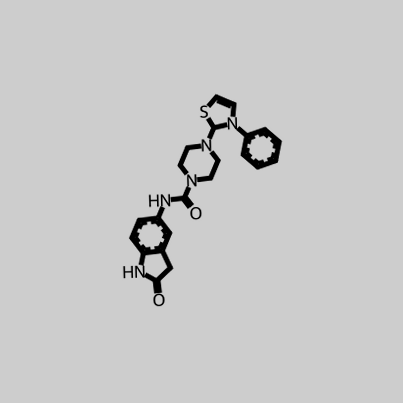 O=C1Cc2cc(NC(=O)N3CCN(C4SC=CN4c4ccccc4)CC3)ccc2N1